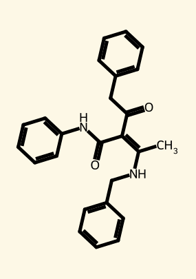 CC(NCc1ccccc1)=C(C(=O)Cc1ccccc1)C(=O)Nc1ccccc1